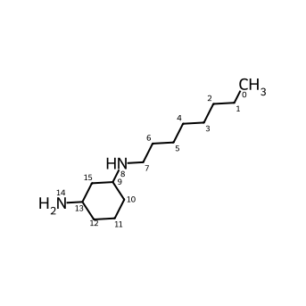 CCCCCCCCNC1CCCC(N)C1